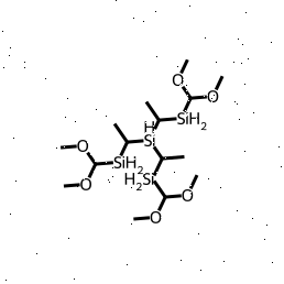 COC(OC)[SiH2]C(C)[SiH](C(C)[SiH2]C(OC)OC)C(C)[SiH2]C(OC)OC